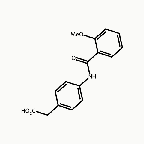 COc1ccccc1C(=O)Nc1ccc(CC(=O)O)cc1